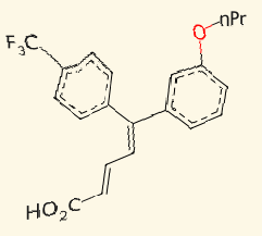 CCCOc1cccc(/C(=C/C=C/C(=O)O)c2ccc(C(F)(F)F)cc2)c1